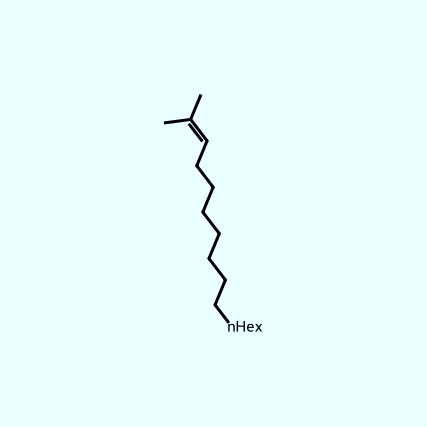 CCCCCCCCCCCCCC=C(C)C